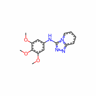 COc1cc(Nc2nnc3ccccn23)cc(OC)c1OC